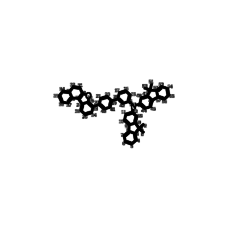 CC1(C)c2ccccc2-c2ccc(N(c3cccc(-c4ccc(-c5cccc6c5oc5ccc7ccccc7c56)cc4)c3)c3ccc4c(c3)C(C)(C)c3ccccc3-4)cc21